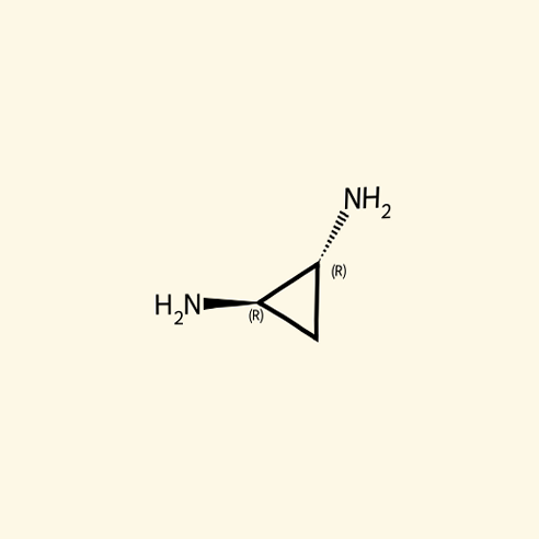 N[C@@H]1C[C@H]1N